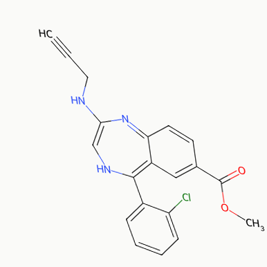 C#CCNC1=CNC(c2ccccc2Cl)=c2cc(C(=O)OC)ccc2=N1